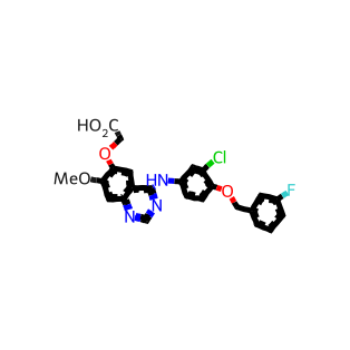 COc1cc2ncnc(Nc3ccc(OCc4cccc(F)c4)c(Cl)c3)c2cc1OCC(=O)O